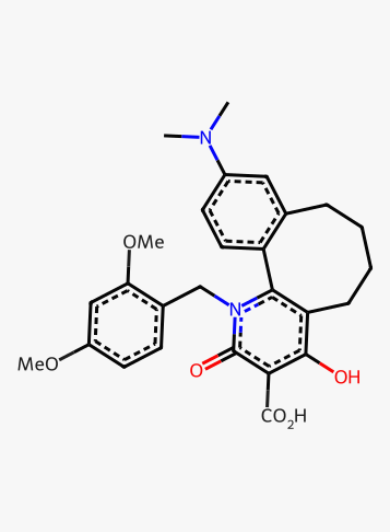 COc1ccc(Cn2c3c(c(O)c(C(=O)O)c2=O)CCCCc2cc(N(C)C)ccc2-3)c(OC)c1